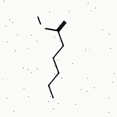 CCCCCCCCCCCC(=O)OCCCC.[SnH4]